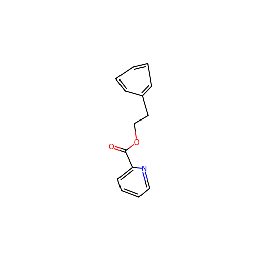 O=C(OCCc1ccccc1)c1ccccn1